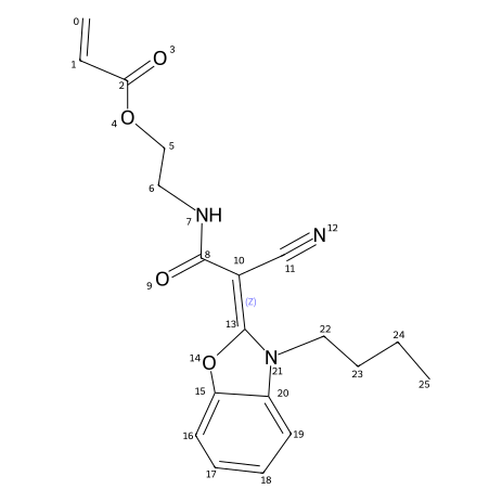 C=CC(=O)OCCNC(=O)/C(C#N)=C1\Oc2ccccc2N1CCCC